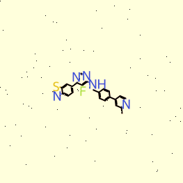 Cc1cc(-c2ccc(CNc3ncnc(-c4ccc5ncsc5c4)c3F)cc2)ccn1